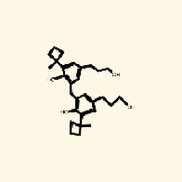 CC1(c2cc(CCCO)cc(Cc3cc(CCCO)cc(C4(C)CCC4)c3O)c2O)CCC1